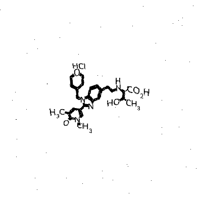 Cc1cc(-c2nc3cc(CCN[C@H](C(=O)O)[C@@H](C)O)ccc3n2CC2CCOCC2)cn(C)c1=O.Cl